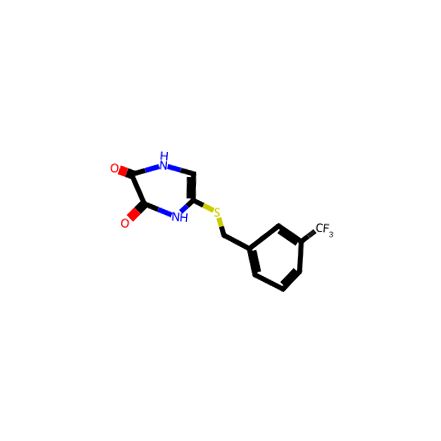 O=c1[nH]cc(SCc2cccc(C(F)(F)F)c2)[nH]c1=O